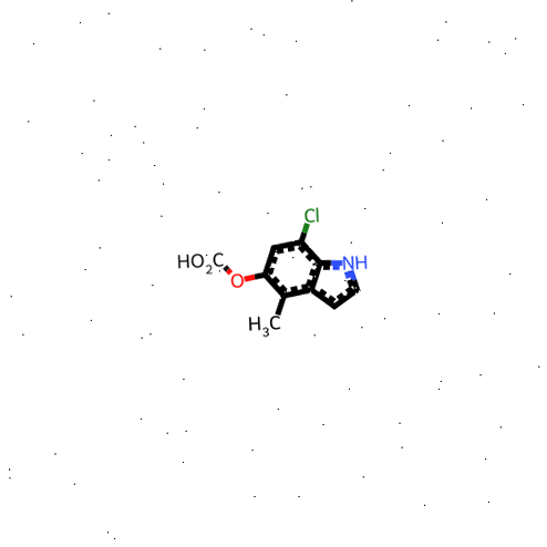 Cc1c(OC(=O)O)cc(Cl)c2[nH]ccc12